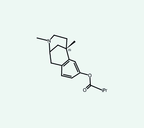 CC(C)C(=O)Oc1ccc2c(c1)[C@@]1(C)CCN(C)C(C2)C1